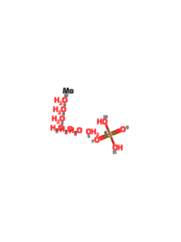 O.O.O.O.O.O.O.O=S(=O)(O)O.[Mo]